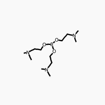 CN(C)CCOB(OCCN(C)C)OCCN(C)C